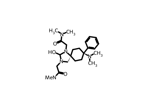 CNC(=O)CN1C[C@]2(CC[C@](c3ccccc3)(N(C)C)CC2)N(CC(=O)N(C)C)C1O